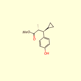 COC(=O)[C@H](C)[C@H](c1ccc(O)cc1)C1CC1